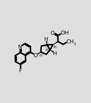 CCC(C(=O)O)[C@H]1[C@@H]2C[C@@H](Oc3ccnc4ccc(F)cc34)C[C@@H]21